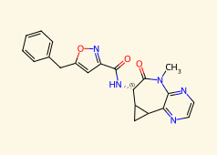 CN1C(=O)[C@@H](NC(=O)c2cc(Cc3ccccc3)on2)C2CC2c2nccnc21